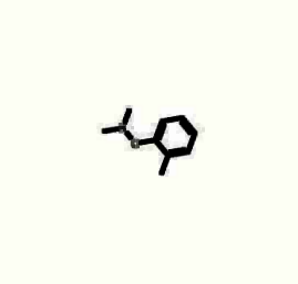 CB(C)Oc1ccccc1C